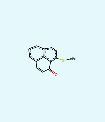 CCCCSc1ccc2cccc3c2c1C(=O)C=C3